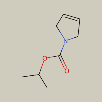 CC(C)OC(=O)N1CC=CC1